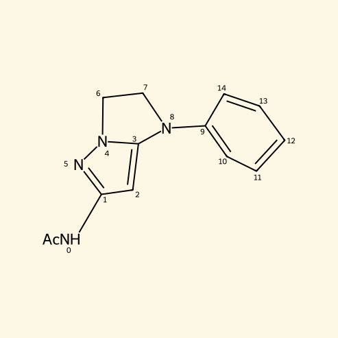 CC(=O)Nc1cc2n(n1)CCN2c1ccccc1